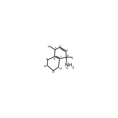 CC1C=CC(C)(N)C2=C1CCCC2